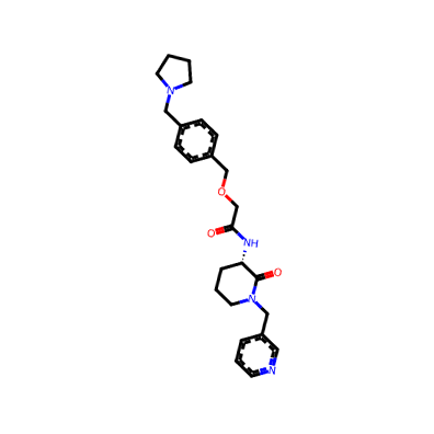 O=C(COCc1ccc(CN2CCCC2)cc1)N[C@H]1CCCN(Cc2cccnc2)C1=O